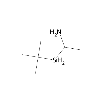 CC(N)[SiH2]C(C)(C)C